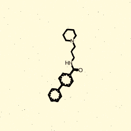 O=C(NCCCN1CCCCC1)c1ccc(-c2ccccc2)cc1